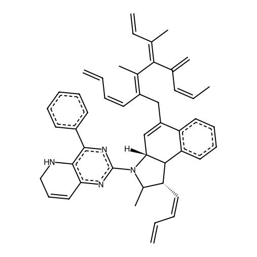 C=C\C=C/C(CC1=C[C@@H]2C(c3ccccc31)[C@H](/C=C\C=C)C(C)N2c1nc2c(c(-c3ccccc3)n1)NCC=C2)=C(C)/C(C(=C)/C=C\C)=C(/C)C=C